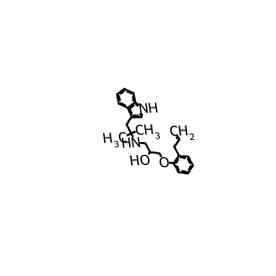 C=CCc1ccccc1OCC(O)CNC(C)(C)Cc1c[nH]c2ccccc12